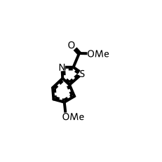 COC(=O)c1nc2ccc(OC)cc2s1